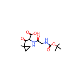 CC(C)(C)OC(=O)NCC(=O)NC(C(=O)O)C(=O)C1(C)CC1